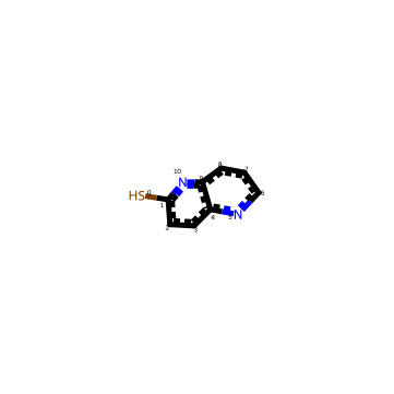 Sc1ccc2ncccc2n1